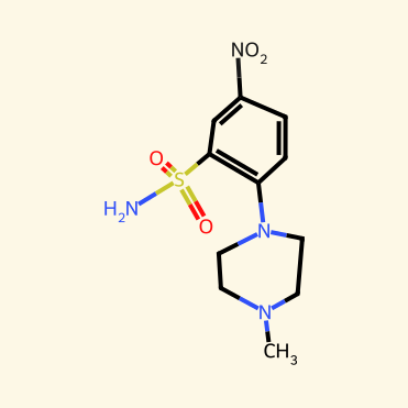 CN1CCN(c2ccc([N+](=O)[O-])cc2S(N)(=O)=O)CC1